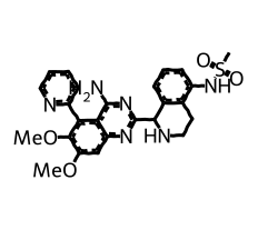 COc1cc2nc(C3NCCc4c(NS(C)(=O)=O)cccc43)nc(N)c2c(-c2ccccn2)c1OC